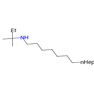 CCCCCCCCCCCCCCNC(C)(C)CC